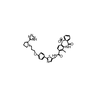 Cc1c(C(=O)NCc2cnc(-c3ccc(OCCCN4CCC[C@H]4c4nnn[nH]4)cc3)s2)ccc2c1NC(=O)c1ccccc1S2(=O)=O